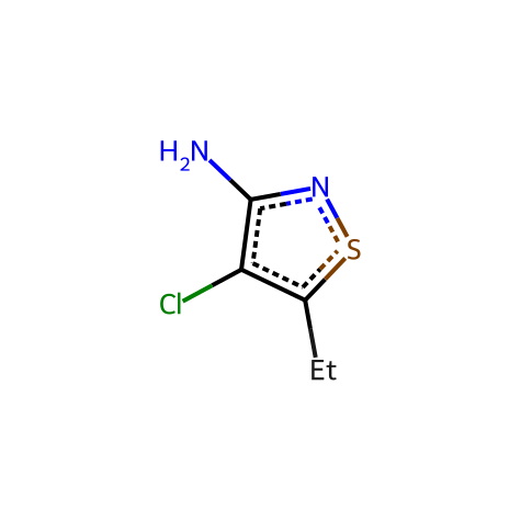 CCc1snc(N)c1Cl